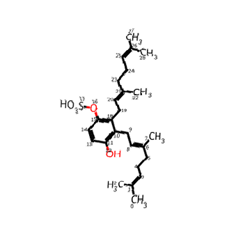 CC(C)=CCC/C(C)=C/Cc1c(O)ccc(OS(=O)(=O)O)c1C/C=C(\C)CCC=C(C)C